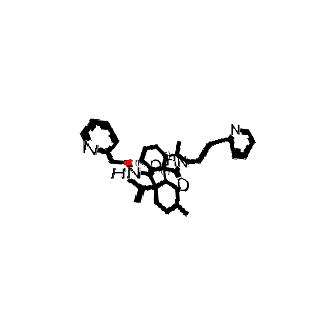 CC1CCC(C(=O)NCCc2ccccn2)(C(C)C)C([C@@]2(C(=O)NCCc3ccccn3)C[C@H](C)CC[C@H]2C(C)C)C1